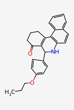 CCCOc1ccc(C2Nc3ccc4ccccc4c3C3=C2C(=O)CCC3)cc1